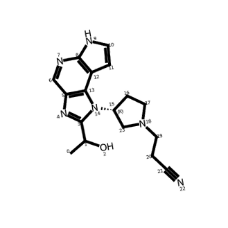 CC(O)c1nc2cnc3[nH]ccc3c2n1[C@@H]1CCN(CCC#N)C1